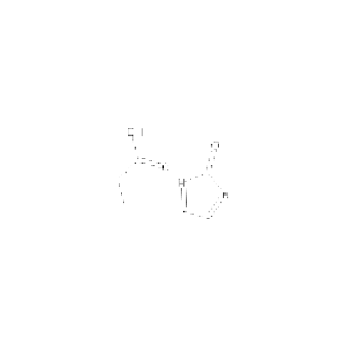 CCC(=O)O.O=C1N=CC=N1